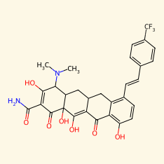 CN(C)C1C(O)=C(C(N)=O)C(=O)C2(O)C(O)=C3C(=O)c4c(O)ccc(/C=C/c5ccc(C(F)(F)F)cc5)c4CC3CC12